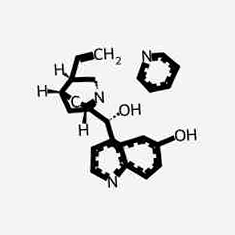 C=C[C@H]1C[N@]2CC[C@H]1C[C@H]2[C@H](O)c1ccnc2ccc(O)cc12.c1ccncc1